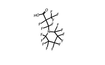 O=C(O)C(F)(C(F)(F)F)C(F)(F)N1C(F)(F)C(F)(F)C(F)(F)C(F)(F)C1(F)F